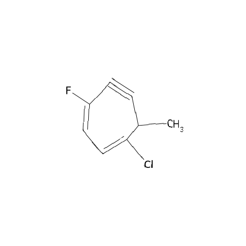 CC1C#CC(F)=CC=C1Cl